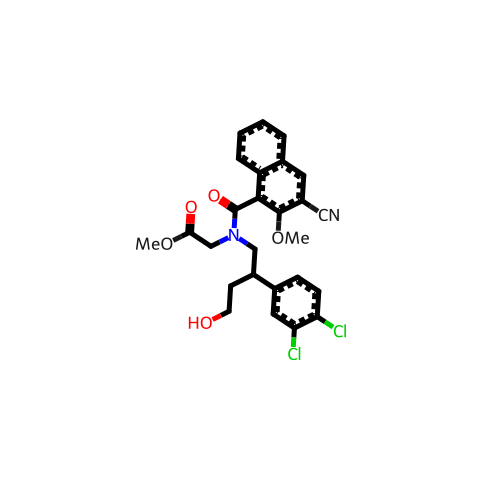 COC(=O)CN(CC(CCO)c1ccc(Cl)c(Cl)c1)C(=O)c1c(OC)c(C#N)cc2ccccc12